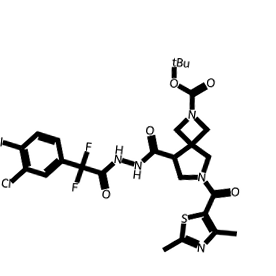 Cc1nc(C)c(C(=O)N2CC(C(=O)NNC(=O)C(F)(F)c3ccc(Cl)c(Cl)c3)C3(CN(C(=O)OC(C)(C)C)C3)C2)s1